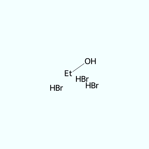 Br.Br.Br.CCO